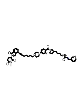 O=C(/C=C/c1cccnc1)NCCCCC1CCN(C(=O)c2ccc(N3CCN(CCCCCC#Cc4cccc5c4CN(C4CCC(=O)NC4=O)C5=O)CC3)cc2F)C1